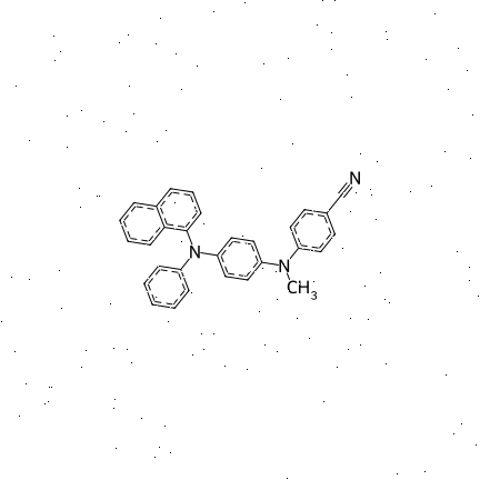 CN(c1ccc(C#N)cc1)c1ccc(N(c2ccccc2)c2cccc3ccccc23)cc1